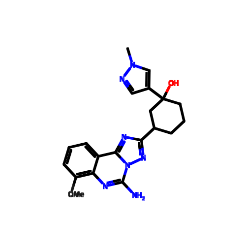 COc1cccc2c1nc(N)n1nc(C3CCCC(O)(c4cnn(C)c4)C3)nc21